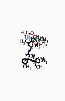 CC[Si](C#C[C@]1(C)C[C@H](C)C=C[C@@H]1/C=C(C)/C=C/[C@@H](C)C[C@H](C)[C@H](O[Si](C)(C)C(C)(C)C)[C@@H](C)NC(C)=O)(CC)CC